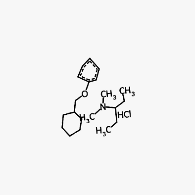 CCC(CC)N(C)C.Cl.c1ccc(OCC2CCCCC2)cc1